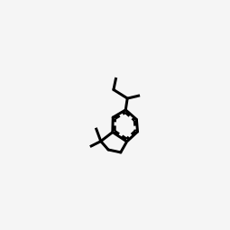 CCC(C)c1ccc2c(c1)C(C)(C)CC2